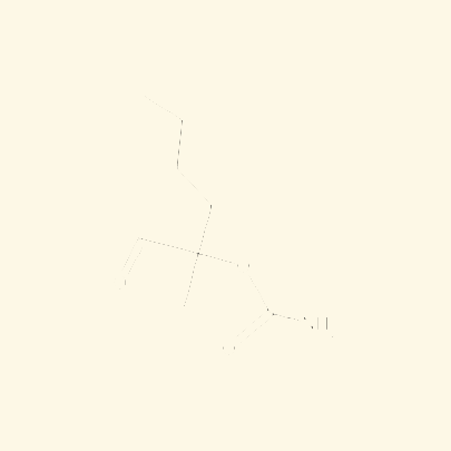 CCCCC(C)(C=O)OC(N)=O